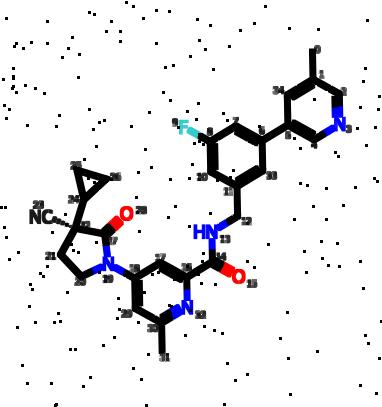 Cc1cncc(-c2cc(F)cc(CNC(=O)c3cc(N4CC[C@@](C#N)(C5CC5)C4=O)cc(C)n3)c2)c1